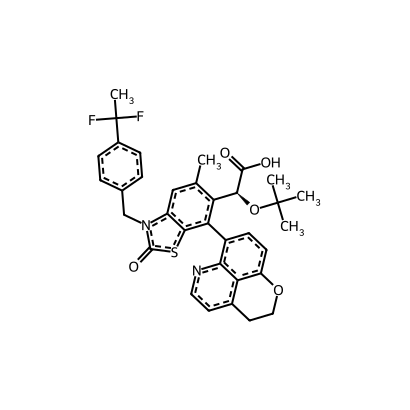 Cc1cc2c(sc(=O)n2Cc2ccc(C(C)(F)F)cc2)c(-c2ccc3c4c(ccnc24)CCO3)c1[C@H](OC(C)(C)C)C(=O)O